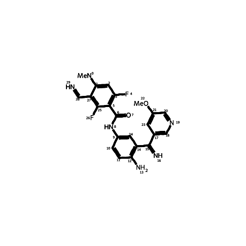 CNc1cc(F)c(C(=O)Nc2ccc(N)c(C(=N)c3cncc(OC)c3)c2)c(F)c1C=N